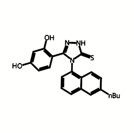 CCCCc1ccc2c(-n3c(-c4ccc(O)cc4O)n[nH]c3=S)cccc2c1